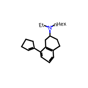 CCCCCCN(CC)C1CCc2cccc(C3=CCCC3)c2C1